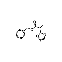 CC(C(=O)OCc1ccccc1)c1ncno1